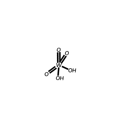 [O]=[W](=[O])(=[O])([OH])[OH]